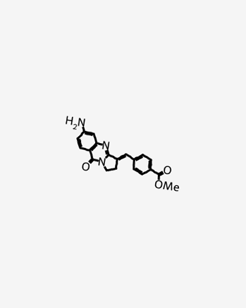 COC(=O)c1ccc(/C=C2\CCn3c2nc2cc(N)ccc2c3=O)cc1